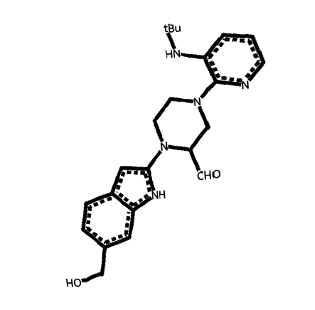 CC(C)(C)Nc1cccnc1N1CCN(c2cc3ccc(CO)cc3[nH]2)C(C=O)C1